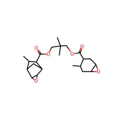 CC1CC2OC2CC1C(=O)OCC(C)(C)COC(=O)C1C(C)C2CC1C1OC21